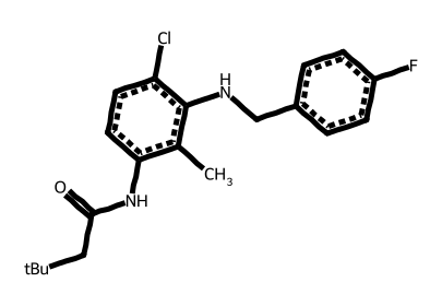 Cc1c(NC(=O)CC(C)(C)C)ccc(Cl)c1NCc1ccc(F)cc1